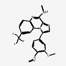 CNc1nc2ccc(C(F)(F)F)cc2n2c(-c3ccc(OC)c(OC)c3)cnc12